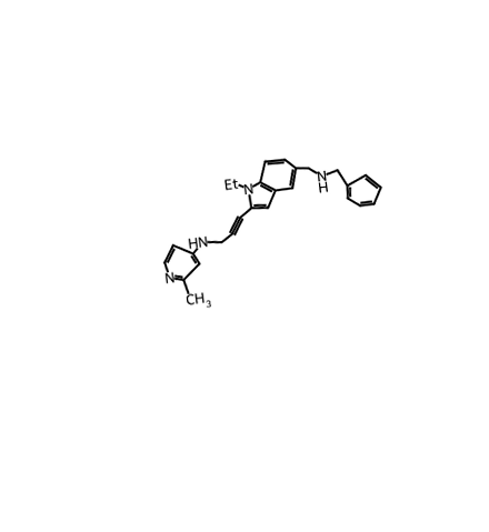 CCn1c(C#CCNc2ccnc(C)c2)cc2cc(CNCc3ccccc3)ccc21